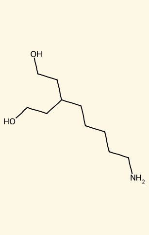 NCCCCCC(CCO)CCO